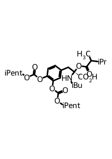 CCCC(C)OC(=O)Oc1ccc(C[C@](NC(C)CC)(OC(=O)C(C)C(C)C)C(=O)O)cc1OC(=O)OC(C)CCC